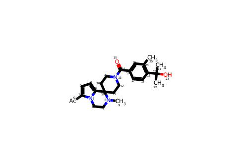 CC(=O)c1ccc2n1CCN(C)C21CCN(C(=O)c2ccc(C(C)(C)O)c(C)c2)CC1